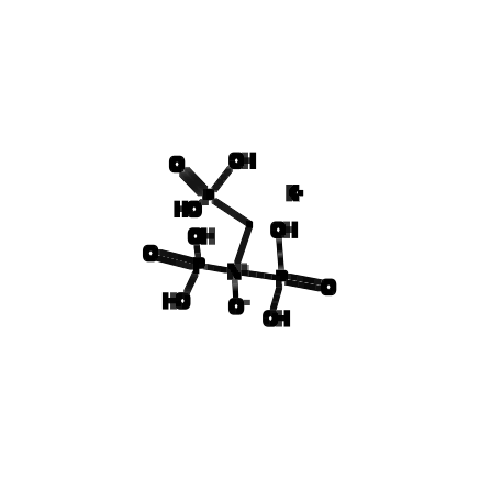 O=P(O)(O)C[N+]([O-])(P(=O)(O)O)P(=O)(O)O.[K]